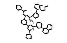 C=C/C=C\c1c(C)cccc1-c1cccc(/C(N)=C/C(=C\C(=C)c2ccccc2)c2cccc(-c3cc(-c4ccccc4)nc(-c4cccc(-c5cccc6ccccc56)c4)c3)c2)c1